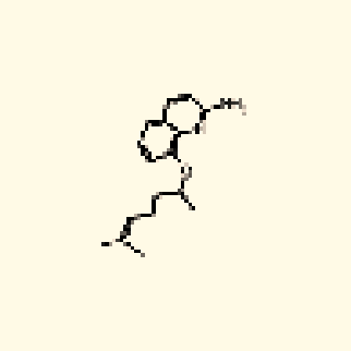 CC(C)=CCCC(C)Oc1cccc2ccc(N)nc12